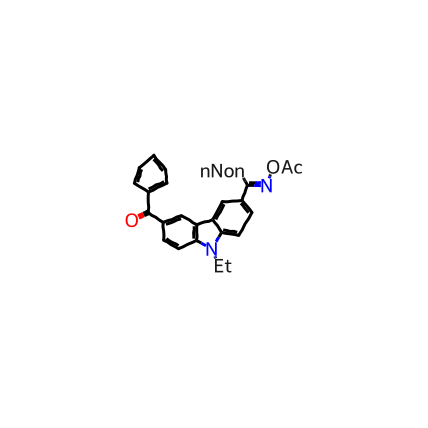 CCCCCCCCC/C(=N\OC(C)=O)c1ccc2c(c1)c1cc(C(=O)c3ccccc3)ccc1n2CC